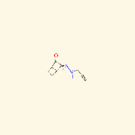 C#CCN/N=C1/C(=O)C2CCC12